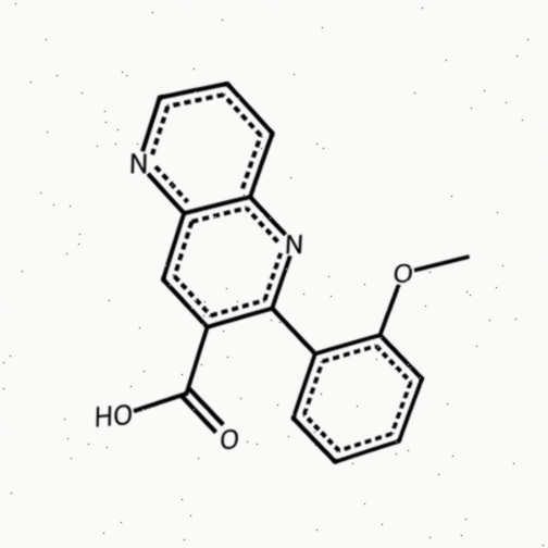 COc1ccccc1-c1nc2cccnc2cc1C(=O)O